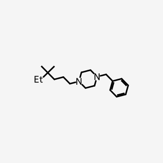 CCC(C)(C)CCCN1CCN(Cc2ccccc2)CC1